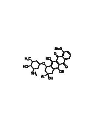 COc1cccc2c1C(=O)c1c(O)c3c(c(O)c1C2=O)CC(O)(C(C)=O)CC3OC1CC(C)C(O)C(N)C1